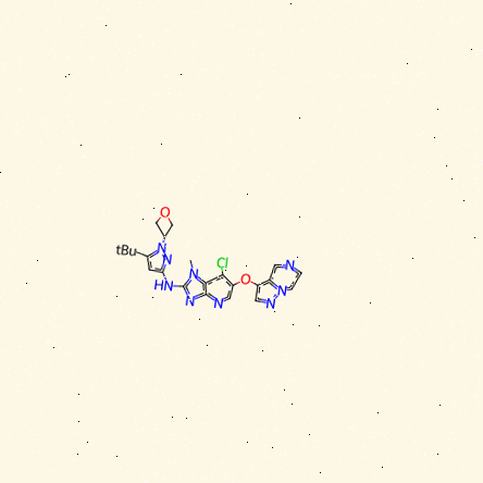 Cn1c(Nc2cc(C(C)(C)C)n(C3COC3)n2)nc2ncc(Oc3cnn4ccncc34)c(Cl)c21